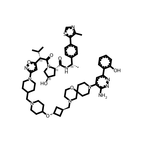 Cc1ncsc1-c1ccc([C@H](C)NC(=O)[C@@H]2C[C@@H](O)CN2C(=O)[C@H](c2cc(N3CCC(CN4CCC(O[C@H]5C[C@H](CN6CCOC7(CCN(c8cc(-c9ccccc9O)nnc8N)CC7)C6)C5)CC4)CC3)no2)C(C)C)cc1